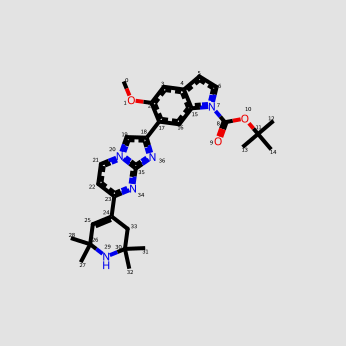 COc1cc2ccn(C(=O)OC(C)(C)C)c2cc1-c1cn2ccc(C3=CC(C)(C)NC(C)(C)C3)nc2n1